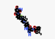 CO[C@@H](C(=O)N1Cc2[nH]nc(NC(=O)c3ccc(N4CCC(N(C)Cc5ccc6c(c5F)CN(C5CCC(=O)NC5=O)C6=O)CC4)cc3)c2C1)c1ccccc1